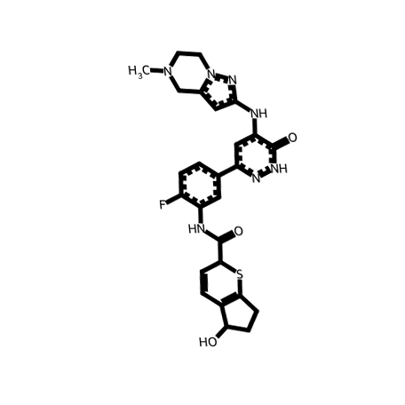 CN1CCn2nc(Nc3cc(-c4ccc(F)c(NC(=O)C5C=CC6=C(CCC6O)S5)c4)n[nH]c3=O)cc2C1